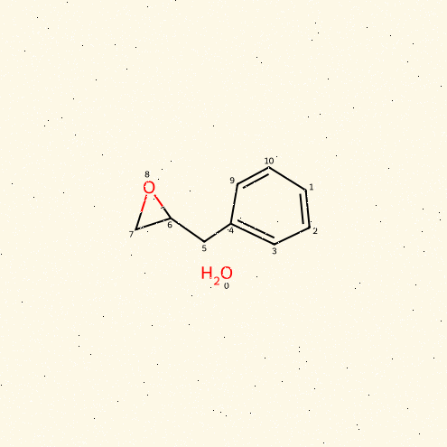 O.c1ccc(CC2CO2)cc1